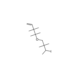 C=CC(C)(C)C(C)(C)OCC(C)(C)C(C)I